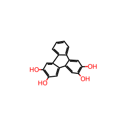 Oc1cc2c3ccccc3c3cc(O)c(O)cc3c2cc1O